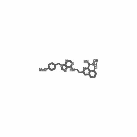 COc1ccc(Cn2cnc3c(NCCc4cc5cccc(Cl)c5c(C(=N)NO)n4)ncnc32)cc1